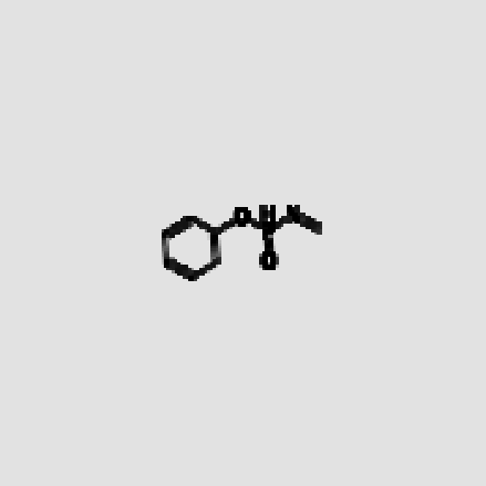 C=N[PH](=O)Oc1ccccc1